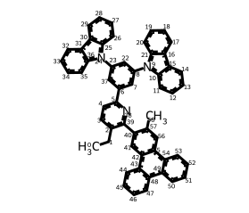 CCc1ccc(-c2cc(-n3c4ccccc4c4ccccc43)cc(-n3c4ccccc4c4ccccc43)c2)nc1-c1cc2c3ccccc3c3ccccc3c2cc1C